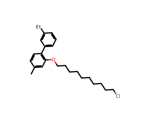 CCc1cccc(-c2ccc(C)cc2OCCCCCCCCCCCl)c1